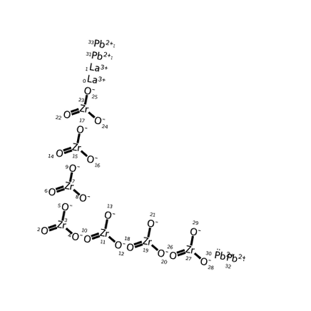 [La+3].[La+3].[O]=[Zr]([O-])[O-].[O]=[Zr]([O-])[O-].[O]=[Zr]([O-])[O-].[O]=[Zr]([O-])[O-].[O]=[Zr]([O-])[O-].[O]=[Zr]([O-])[O-].[O]=[Zr]([O-])[O-].[Pb+2].[Pb+2].[Pb+2].[Pb+2]